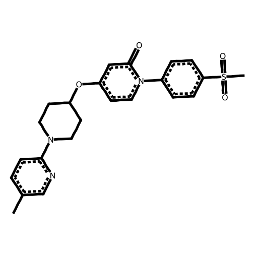 Cc1ccc(N2CCC(Oc3ccn(-c4ccc(S(C)(=O)=O)cc4)c(=O)c3)CC2)nc1